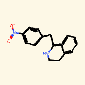 O=[N+]([O-])c1ccc(CC2NCCc3ccccc32)cc1